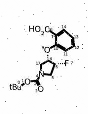 CC(C)(C)OC(=O)N1C[C@@H](F)[C@@H](Oc2ccccc2C(=O)O)C1